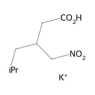 CC(C)CC(CC(=O)O)C[N+](=O)[O-].[K+]